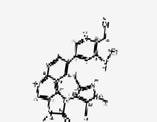 CCNc1cc(-c2ccc3ncc4c(c3c2)n(-c2c(C)nn(C)c2C)c(=O)n4C)cnc1CO